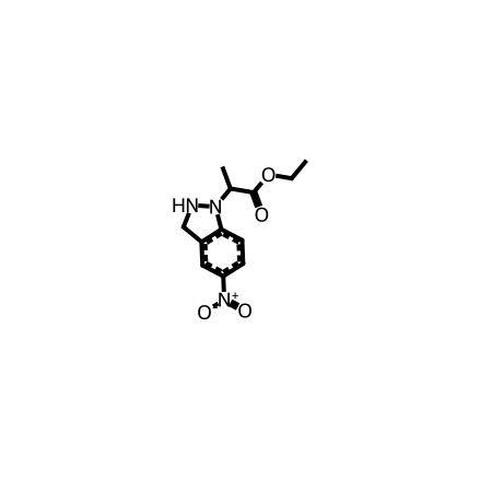 CCOC(=O)C(C)N1NCc2cc([N+](=O)[O-])ccc21